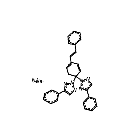 C(=Cc1ccccc1)C1=CCC(n2ncc(-c3ccccc3)n2)(n2ncc(-c3ccccc3)n2)C=C1.[Na].[Na]